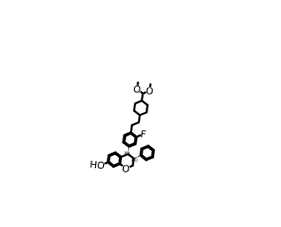 COC(OC)C1CCC(CCc2ccc([C@H]3c4ccc(O)cc4OC[C@H]3c3ccccc3)cc2F)CC1